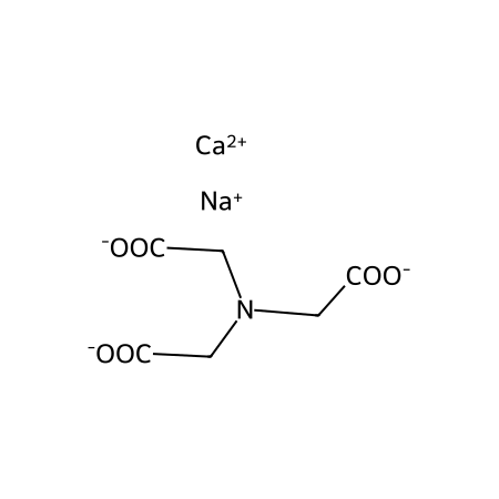 O=C([O-])CN(CC(=O)[O-])CC(=O)[O-].[Ca+2].[Na+]